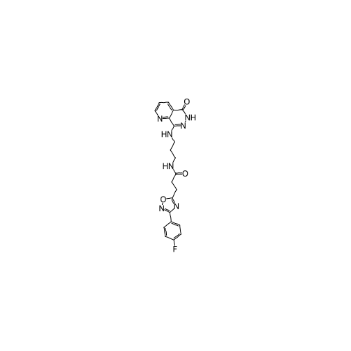 O=C(CCc1nc(-c2ccc(F)cc2)no1)NCCCNc1n[nH]c(=O)c2cccnc12